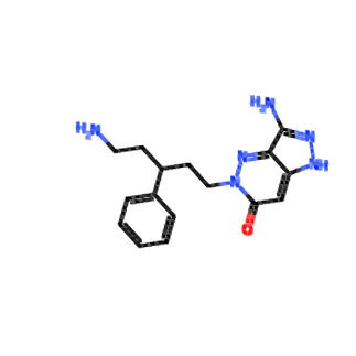 NCCC(CCn1nc2c(N)n[nH]c2cc1=O)c1ccccc1